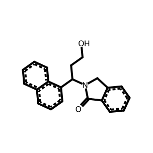 O=C1c2ccccc2CN1C(CCO)c1cccc2ccccc12